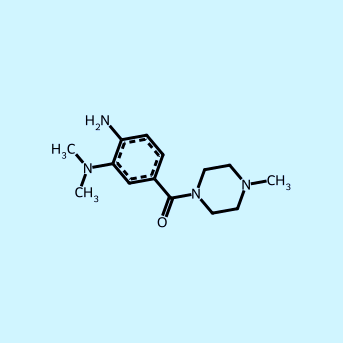 CN1CCN(C(=O)c2ccc(N)c(N(C)C)c2)CC1